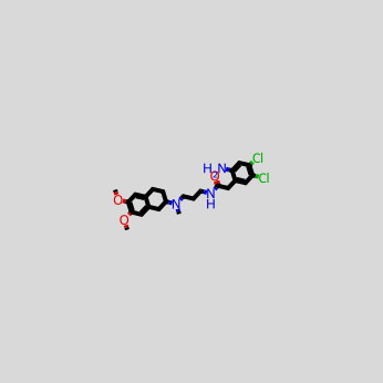 COc1cc2c(cc1OC)CC(N(C)CCCNC(=O)Cc1cc(Cl)c(Cl)cc1N)CC2